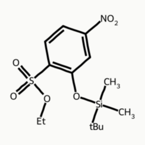 CCOS(=O)(=O)c1ccc([N+](=O)[O-])cc1O[Si](C)(C)C(C)(C)C